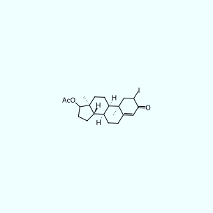 CC(=O)OC1CC[C@H]2[C@@H]3CCC4=CC(=O)C(I)C[C@]4(C)[C@@H]3CC[C@]12C